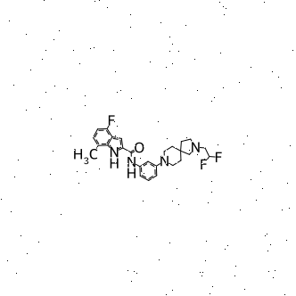 Cc1ccc(F)c2cc(C(=O)Nc3cccc(N4CCC5(CCN(CC(F)F)C5)CC4)c3)[nH]c12